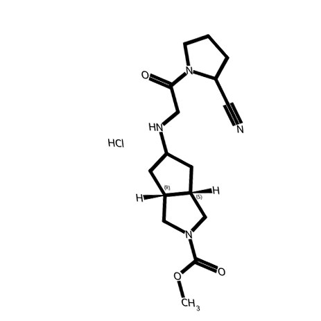 COC(=O)N1C[C@H]2CC(NCC(=O)N3CCCC3C#N)C[C@H]2C1.Cl